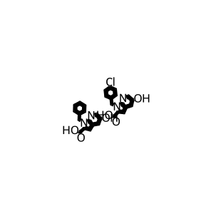 O=C(O)c1cc2cc(O)cnc2n1Cc1ccc(Cl)cc1.O=C(O)c1cc2cc(O)cnc2n1Cc1ccccc1